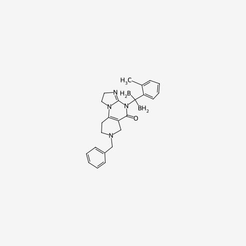 BC(B)(c1ccccc1C)N1C(=O)C2=C(CCN(Cc3ccccc3)C2)N2CCN=C21